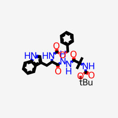 CC(C)(C)OC(=O)NC(C)(C)C(=O)NNC(=O)C(Cc1c[nH]c2ccccc12)NC(=O)OCc1ccccc1